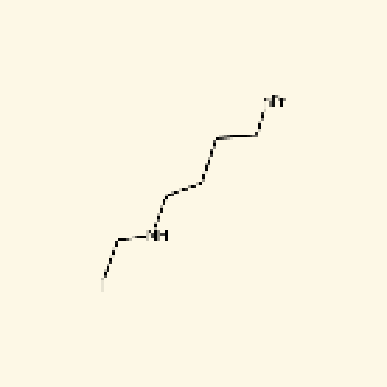 CCCCCCCNCI